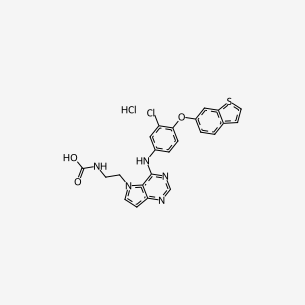 Cl.O=C(O)NCCn1ccc2ncnc(Nc3ccc(Oc4ccc5ccsc5c4)c(Cl)c3)c21